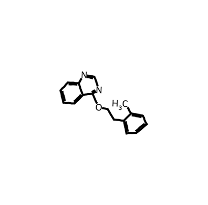 Cc1ccccc1CCOc1ncnc2ccccc12